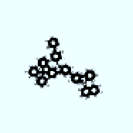 c1ccc(-c2ccc(-n3c4ccc(-c5ccc6c(c5)c5ccccc5n6-c5cccc6ccccc56)cc4c4ccc5c(c43)-c3ccccc3C5(c3ccccc3)c3ccccc3)cc2)cc1